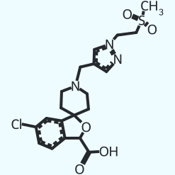 CS(=O)(=O)CCn1cc(CN2CCC3(CC2)OC(C(=O)O)c2ccc(Cl)cc23)cn1